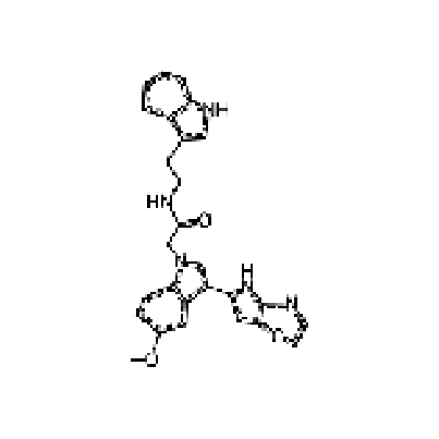 COc1ccc2c(c1)c(-c1cc3cccnc3[nH]1)cn2CC(=O)NCCc1c[nH]c2ccccc12